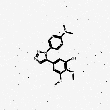 COc1cc(-c2cnnn2-c2ccc(N(C)C)cc2)cc(O)c1OC